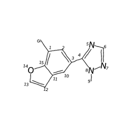 [CH2]c1cc(-c2ncnn2C)cc2ccoc12